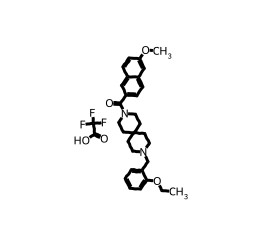 CCOc1ccccc1CN1CCC2(CC1)CCN(C(=O)c1ccc3cc(OC)ccc3c1)CC2.O=C(O)C(F)(F)F